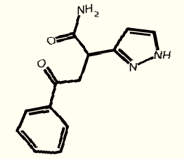 NC(=O)C(CC(=O)c1ccccc1)c1cc[nH]n1